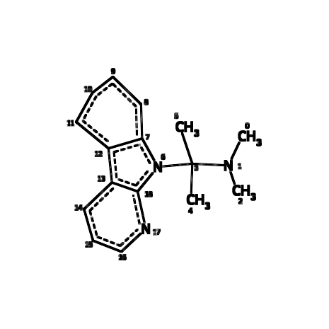 CN(C)C(C)(C)n1c2ccccc2c2cccnc21